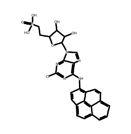 O=P(O)(O)CCC1OC(n2cnc3c(Nc4ccc5ccc6cccc7ccc4c5c67)nc(Cl)nc32)C(O)C1O